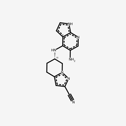 N#Cc1cc2n(n1)C[C@@H](Nc1c(N)cnc3[nH]ccc13)CC2